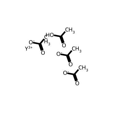 CC(=O)O.CC(=O)[O-].CC(=O)[O-].CC(=O)[O-].[Y+3]